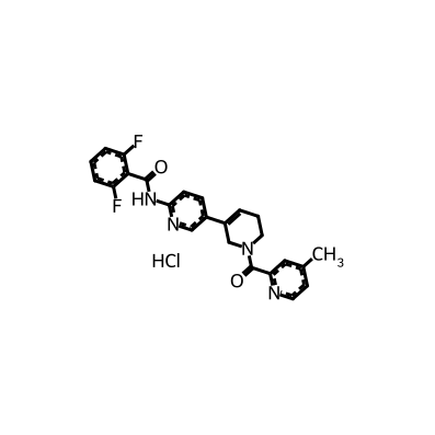 Cc1ccnc(C(=O)N2CCC=C(c3ccc(NC(=O)c4c(F)cccc4F)nc3)C2)c1.Cl